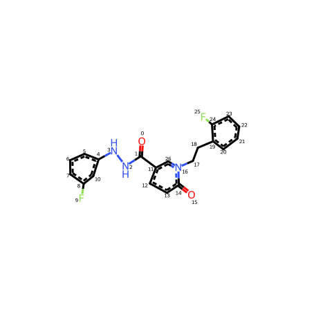 O=C(NNc1cccc(F)c1)c1ccc(=O)n(CCc2ccccc2F)c1